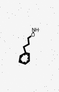 [NH]OCCCc1ccccc1